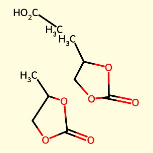 CC(=O)O.CC1COC(=O)O1.CC1COC(=O)O1